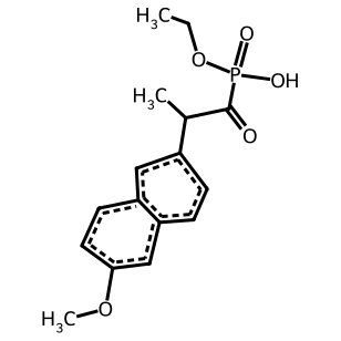 CCOP(=O)(O)C(=O)C(C)c1ccc2cc(OC)ccc2c1